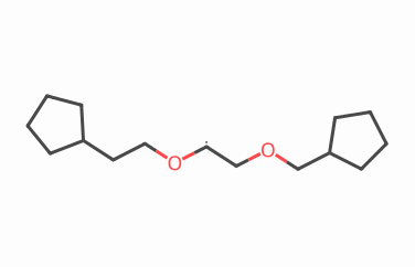 [CH](COCC1CCCC1)OCCC1CCCC1